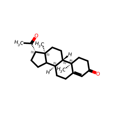 CC(=O)[C@H]1CCC2[C@@H]3CCC4=CC(=O)CC[C@]4(C)[C@H]3CC[C@@]21C